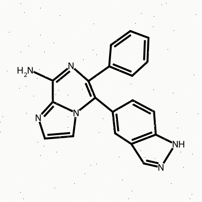 Nc1nc(-c2ccccc2)c(-c2ccc3[nH]ncc3c2)n2ccnc12